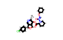 Cc1ncc2c(c1OC(=O)C1CCCCN1[N+]([O-])=NOC1CCCCC1)CO[C@H]2c1ccc(Cl)cc1